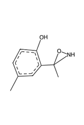 Cc1ccc(O)c(C2(C)NO2)c1